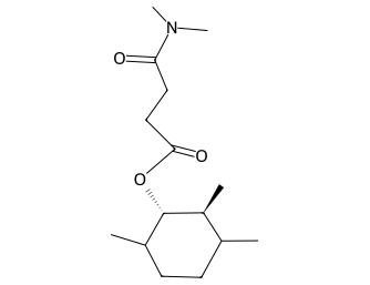 CC1CCC(C)[C@H](OC(=O)CCC(=O)N(C)C)[C@H]1C